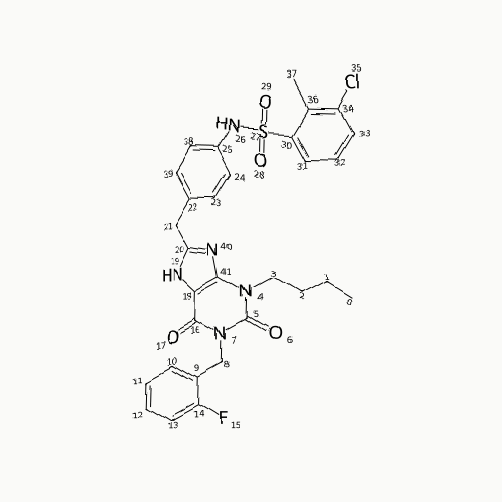 CCCCn1c(=O)n(Cc2ccccc2F)c(=O)c2[nH]c(Cc3ccc(NS(=O)(=O)c4cccc(Cl)c4C)cc3)nc21